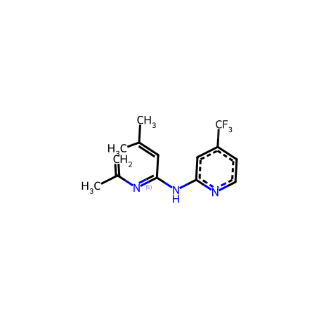 C=C(C)/N=C(\C=C(C)C)Nc1cc(C(F)(F)F)ccn1